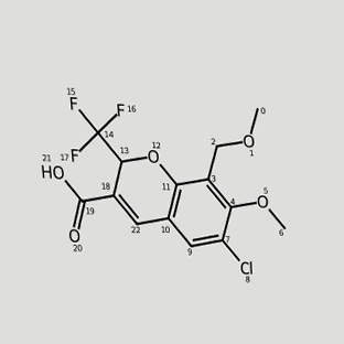 COCc1c(OC)c(Cl)cc2c1OC(C(F)(F)F)C(C(=O)O)=C2